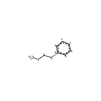 [O]CCCc1ccccc1